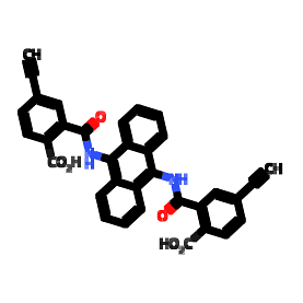 C#Cc1ccc(C(=O)O)c(C(=O)Nc2c3ccccc3c(NC(=O)c3cc(C#C)ccc3C(=O)O)c3ccccc23)c1